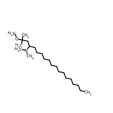 CCCCCCCCCCCCCCCC(CC(C)(C)O[SiH3])N(C)C